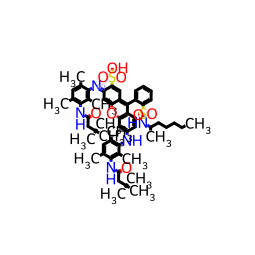 CCCCCC(C)NS(=O)(=O)c1ccccc1-c1c2cc(S(=O)(=O)O)/c(=N/c3c(C)cc(C)c(NC(=O)CC(C)(C)C)c3C)cc-2oc2cc(Nc3c(C)cc(C)c(NC(=O)CC(C)(C)C)c3C)ccc12